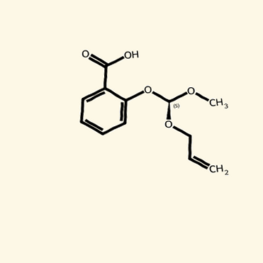 C=CCO[C@H](OC)Oc1ccccc1C(=O)O